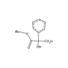 CCC(C)OC(=O)C(O)(C(=O)O)c1ccccc1